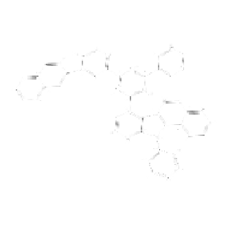 c1ccc(-c2nc(-c3ccc4oc5cc6ccccc6cc5c4c3)nc(-c3cccc4c3c3ccc5ccccc5c3n4-c3ccccc3)n2)cc1